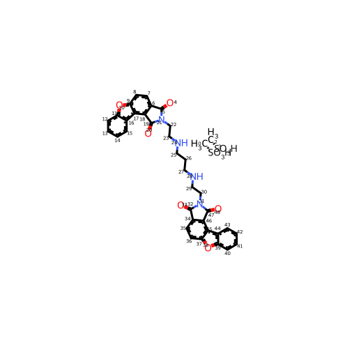 CS(=O)(=O)O.CS(=O)(=O)O.O=C1c2ccc3oc4ccccc4c3c2C(=O)N1CCNCCCNCCN1C(=O)c2ccc3oc4ccccc4c3c2C1=O